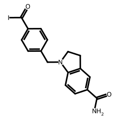 NC(=O)c1ccc2c(c1)CCN2Cc1ccc(C(=O)I)cc1